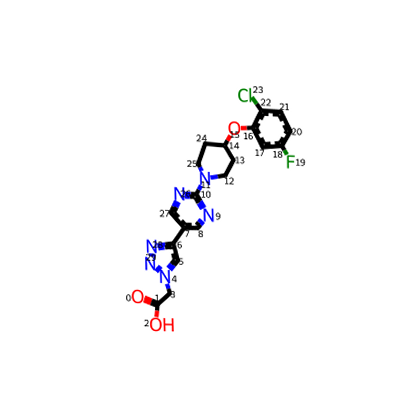 O=C(O)Cn1cc(-c2cnc(N3CCC(Oc4cc(F)ccc4Cl)CC3)nc2)nn1